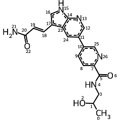 CC(O)CNC(=O)c1ccc(-c2cnc3[nH]cc(C=CC(N)=O)c3c2)cn1